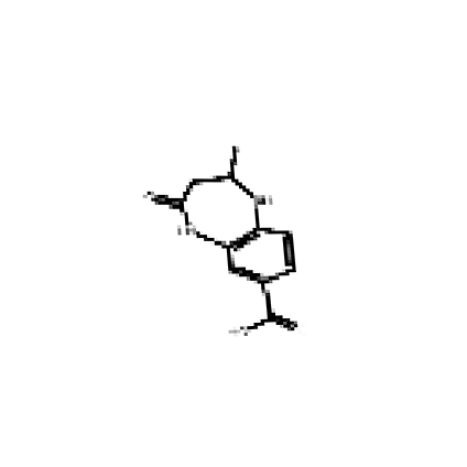 CC1CC(=O)Nc2cc(C(=O)O)ccc2N1